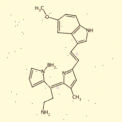 Bn1cccc1/C(CCN)=C1N=C(/C=C/c2c[nH]c3ccc(OC)cc23)C=C\1C